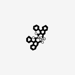 O=C(O)c1cc2ccccc2c(-c2ccccc2)c1C(=O)OC(=O)c1c(C(=O)O)cc2ccccc2c1-c1ccccc1